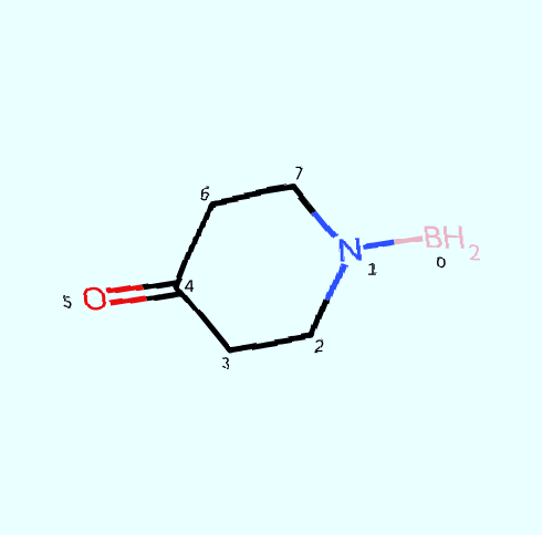 BN1CCC(=O)CC1